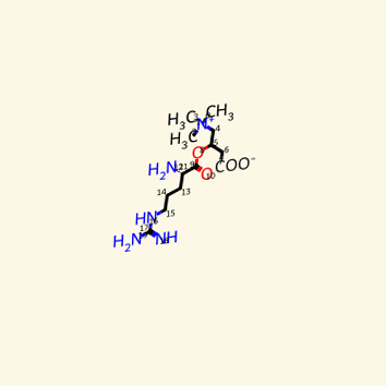 C[N+](C)(C)CC(CC(=O)[O-])OC(=O)[C@@H](N)CCCNC(=N)N